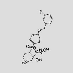 O=C(NO)C1(O)CNCCC1S(=O)(=O)c1ccc(OCc2cccc(F)c2)cc1